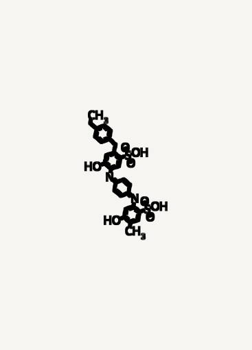 CCc1ccc(Cc2cc(O)c(N=C3C=CC(=Nc4cc(O)c(C)cc4S(=O)(=O)O)C=C3)cc2S(=O)(=O)O)cc1